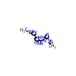 CCNCc1cncc(-c2ccc3[nH]nc(-c4nc5c(-n6cnc(C)c6)cncc5[nH]4)c3n2)c1